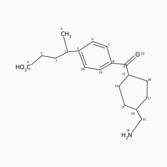 CC(CCC(=O)O)c1ccc(C(=O)C2CCC(CN)CC2)cc1